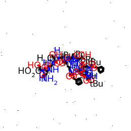 CC[C@H](C)[C@H](NC(=O)[C@@H](CCCNC(=O)OCc1ccccc1)NC(=O)[C@H](CC(C)C)NC(=O)[C@@H](NC(=O)[C@H](Cc1cccc(NC(=O)OC(C)(C)C)c1)NC(=O)[C@H](CC(C)(C)C)NC(=O)[C@@H](CC(C)(C)C)NC(=O)OCc1ccccc1)C(O)C(C)C)C(=O)N[C@H](C(=O)NCC(=O)N[C@@H](CC(N)=O)C(=O)N[C@@H](CO)C(=O)O)[C@H](C)O